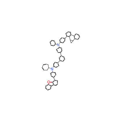 C1=CCC(N(c2ccc(-c3cccc(-c4ccc(N(c5ccccc5)c5ccc(-c6cccc7c6C6CC6c6ccccc6-7)cc5)cc4)c3)cc2)c2ccc(-c3cccc4c3oc3ccccc34)cc2)CC=C1